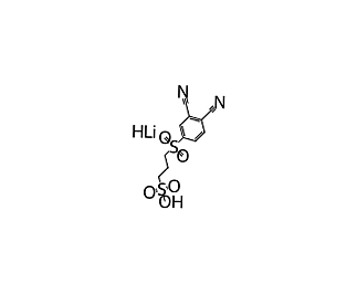 N#Cc1ccc(S(=O)(=O)CCCS(=O)(=O)O)cc1C#N.[LiH]